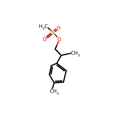 Cc1ccc(C(C)COS(C)(=O)=O)cc1